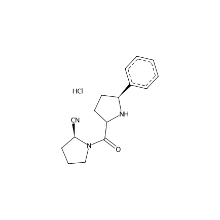 Cl.N#C[C@@H]1CCCN1C(=O)C1CC[C@@H](c2ccccc2)N1